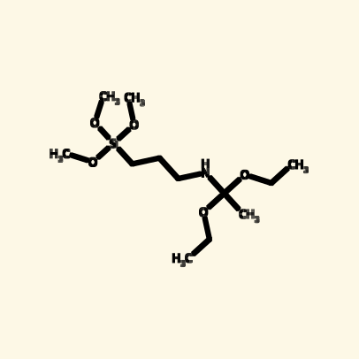 CCOC(C)(NCCC[Si](OC)(OC)OC)OCC